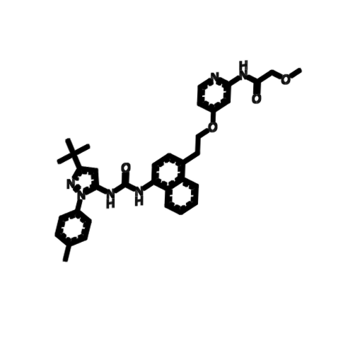 COCC(=O)Nc1cc(OCCc2ccc(NC(=O)Nc3cc(C(C)(C)C)nn3-c3ccc(C)cc3)c3ccccc23)ccn1